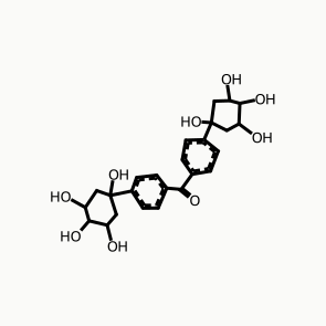 O=C(c1ccc(C2(O)CC(O)C(O)C(O)C2)cc1)c1ccc(C2(O)CC(O)C(O)C(O)C2)cc1